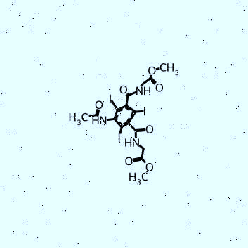 COC(=O)CNC(=O)c1c(I)c(NC(C)=O)c(I)c(C(=O)NCC(=O)OC)c1I